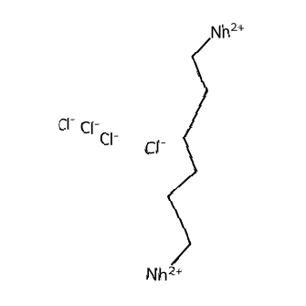 [Cl-].[Cl-].[Cl-].[Cl-].[Nh+2][CH2]CCCC[CH2][Nh+2]